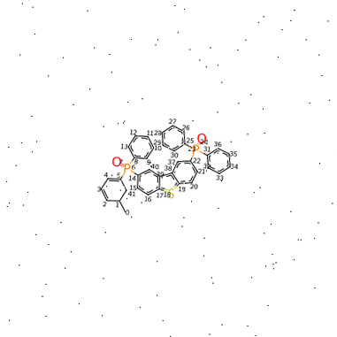 CC1C=CC=C(P(=O)(c2ccccc2)c2ccc3sc4ccc(P(=O)(c5ccccc5)c5ccccc5)cc4c3c2)C1